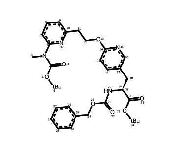 CN(C(=O)OC(C)(C)C)c1cccc(CCOc2ccc(C[C@H](NC(=O)OCc3ccccc3)C(=O)OC(C)(C)C)cn2)n1